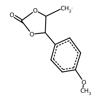 [CH2]C1OC(=O)OC1c1ccc(OC)cc1